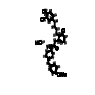 COc1ccc(CN2CCC(NC(=O)Cc3cccc(Cl)c3CCCCc3ccc(Cl)c(Cl)c3)CC2)cc1.Cl